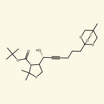 CC12COC(CCCC#C[C@@H](O)C3CSC(C)(C)N3C(=O)OC(C)(C)C)(OC1)OC2